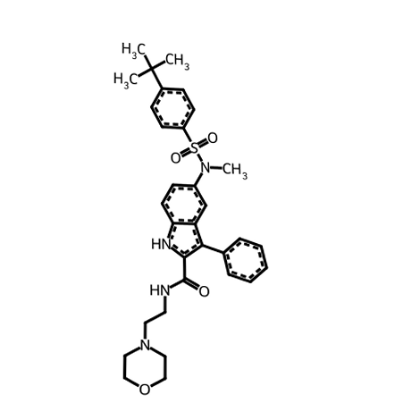 CN(c1ccc2[nH]c(C(=O)NCCN3CCOCC3)c(-c3ccccc3)c2c1)S(=O)(=O)c1ccc(C(C)(C)C)cc1